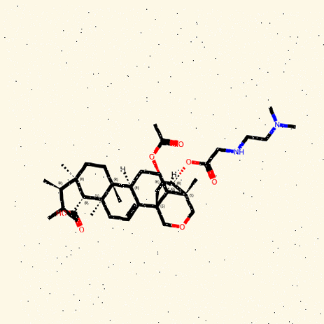 CC(=O)O[C@@H]1C[C@]23COC[C@](C)([C@@H]2CC[C@H]2C3=CC[C@@]3(C)[C@H](C(=O)O)[C@@](C)([C@H](C)C(C)C)CC[C@]23C)[C@H]1OC(=O)CNCCN(C)C